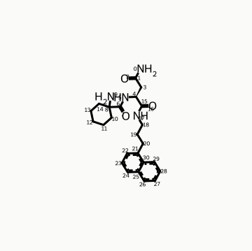 NC(=O)C[C@H](NC(=O)C1(N)CCCCC1)C(=O)NCCCc1cccc2ccccc12